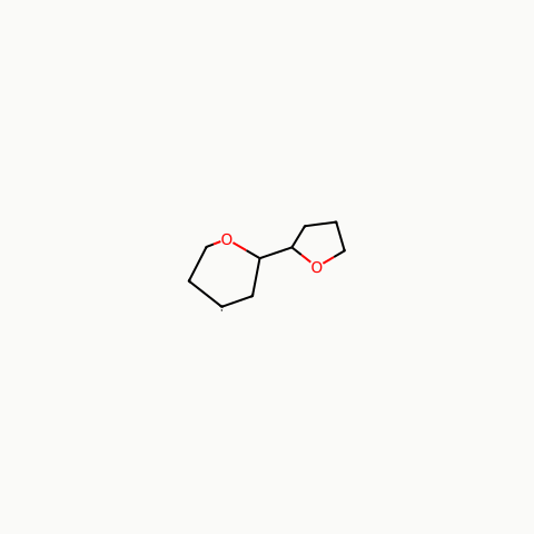 [CH]1CCOC(C2CCCO2)C1